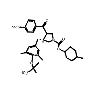 CSc1ccc(C(=O)C2CN(C(=O)OC3CCC(C)CC3)C[C@@H]2Cc2cc(C)c(OC(C)(C)C(=O)O)c(C)c2)cc1